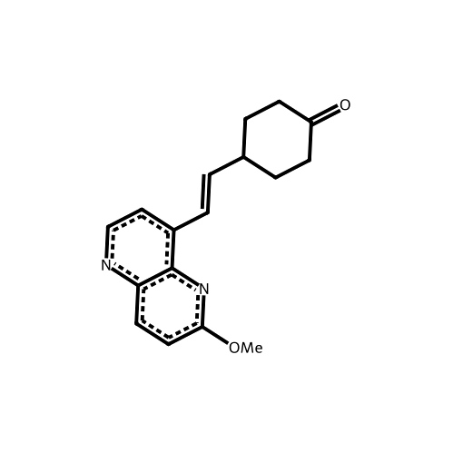 COc1ccc2nccc(C=CC3CCC(=O)CC3)c2n1